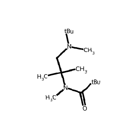 CN(CC(C)(C)N(C)C(=O)C(C)(C)C)C(C)(C)C